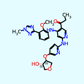 CCC(=O)c1cnc(Nc2ccc(O[C@H]3COC[C@@H]3O)cn2)cc1Nc1cccc(-c2ncn(C)n2)c1OC